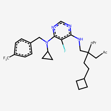 CCCC(CCC1CCC1)(CNc1ncnc(N(Cc2ccc(C(F)(F)F)cc2)C2CC2)c1F)CC(C)=O